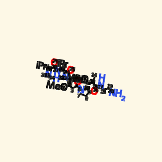 CC[C@H](C)[C@@H]([C@H](CC(=O)N1CCC[C@H]1C(OC)[C@@H](C)C(=O)NCCN)OC)N(C)C(=O)[C@@H](NC(=O)[C@H](C(C)C)N(C)C)C(C)C